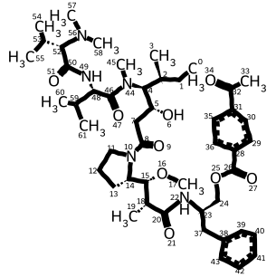 CC[C@H](C)[C@@H]([C@H](O)CC(=O)N1CCC[C@H]1[C@H](OC)[C@@H](C)C(=O)N[C@@H](COC(=O)c1ccc(C(C)=O)cc1)Cc1ccccc1)N(C)C(=O)[C@@H](NC(=O)[C@H](C(C)C)N(C)C)C(C)C